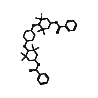 CC1(C)CC(OC(=O)c2ccccc2)CC(C)(C)N1OC1CCC(ON2C(C)(C)CC(OC(=O)c3ccccc3)CC2(C)C)CC1